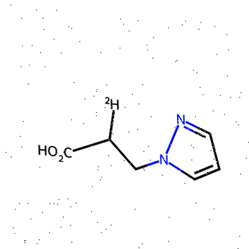 [2H]C(Cn1cccn1)C(=O)O